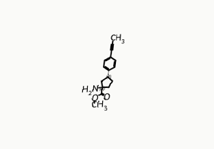 CC#Cc1ccc([C@@H]2CC[C@](N)(C(=O)OC)C2)cc1